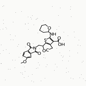 COc1ccc2c(c1)C(=O)N(CC1OCCc3c1sc(NC1CCCCO1)c3C(=O)O)C2=O